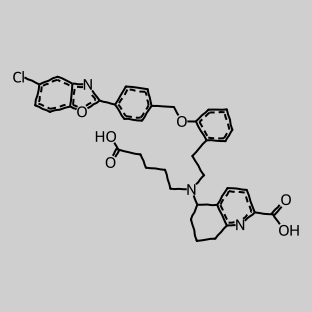 O=C(O)CCCCN(CCc1ccccc1OCc1ccc(-c2nc3cc(Cl)ccc3o2)cc1)C1CCCc2nc(C(=O)O)ccc21